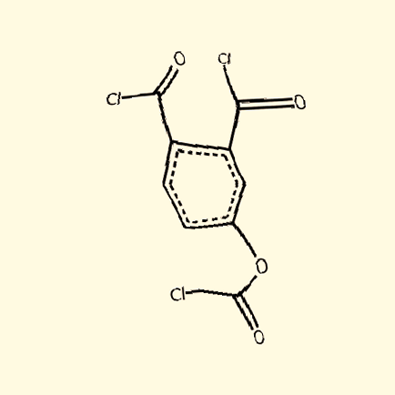 O=C(Cl)Oc1ccc(C(=O)Cl)c(C(=O)Cl)c1